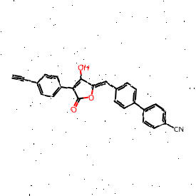 C#Cc1ccc(C2=C(O)C(=Cc3ccc(-c4ccc(C#N)cc4)cc3)OC2=O)cc1